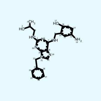 CC(O)CNc1nc(NCc2cc(N)ccc2O)c2ncn(Cc3ccccc3)c2n1